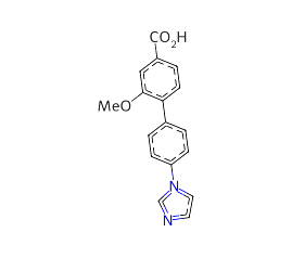 COc1cc(C(=O)O)ccc1-c1ccc(-n2ccnc2)cc1